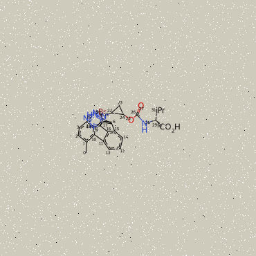 Cc1ccc2[nH]c3c(Br)c2c1-c1cccc-3c1-c1nnnn1C1CC1OC(=O)N[C@H](C(=O)O)C(C)C